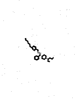 C=CCCCCc1ccc(C=NN=C(c2ccccc2)[C@H]2CC[C@H](C(CC)CCC)CC2)cc1